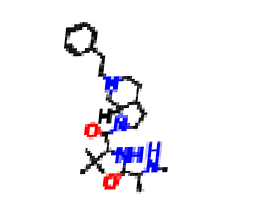 CN[C@@H](C)C(=O)N[C@H](C(=O)N1CCC2CCN(CCc3ccccc3)C[C@H]21)C(C)(C)C